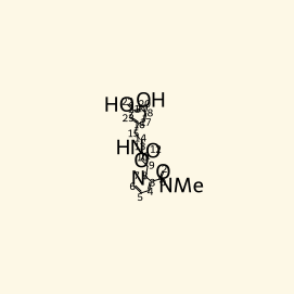 CNC(=O)c1cccnc1COC(=O)NCCc1ccc(O)c(O)c1